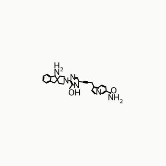 NC(=O)c1ccc2c(CC#Cc3cnc(N4CCC5(CC4)Cc4ccccc4[C@H]5N)c(CO)n3)ccn2c1